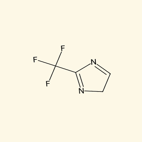 FC(F)(F)C1=NCC=N1